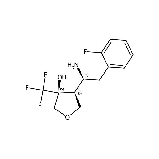 N[C@@H](Cc1ccccc1F)[C@H]1COC[C@]1(O)C(F)(F)F